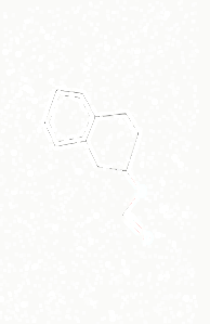 O=COC1CCc2ccccc2C1